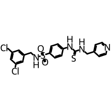 O=S(=O)(NCc1cc(Cl)cc(Cl)c1)c1ccc(NC(=S)NCc2ccncc2)cc1